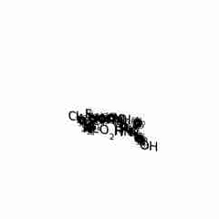 Cc1cc(S(=O)(=O)Nc2ccc(N3CCN(c4cc(F)cc(-c5c(C(=O)O)c(C)n(C)c5-c5ccc(Cl)cc5)c4)CC3)cc2)ccc1N[C@H](CCN1CCC(O)CC1)CSc1ccccc1